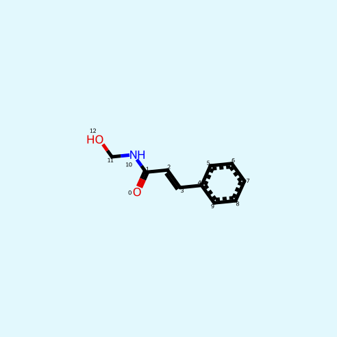 O=C(C=Cc1ccccc1)NCO